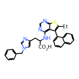 CCc1sc2ncnc(NC(Cc3cn(Cc4ccccc4)cn3)C(=O)O)c2c1-c1cccc2ccccc12